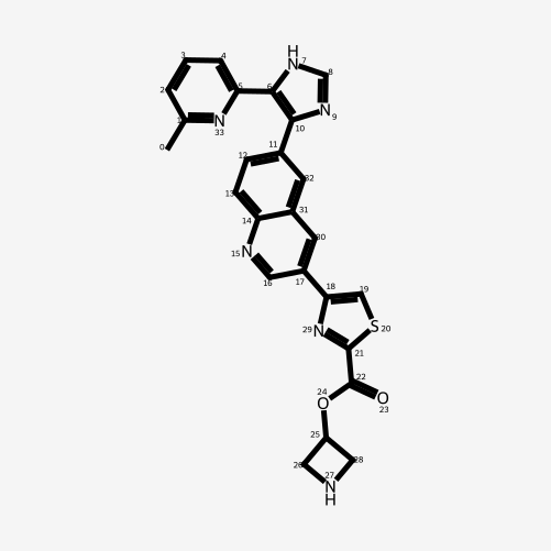 Cc1cccc(-c2[nH]cnc2-c2ccc3ncc(-c4csc(C(=O)OC5CNC5)n4)cc3c2)n1